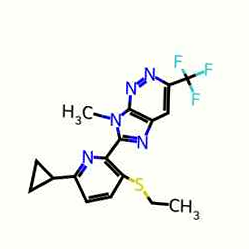 CCSc1ccc(C2CC2)nc1-c1nc2cc(C(F)(F)F)nnc2n1C